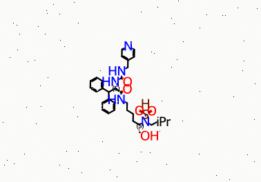 CC(C)CN([C@H](CO)CCCCNC(=O)[C@@H](NC(=O)NCc1ccncc1)C(c1ccccc1)c1ccccc1)[SH](=O)=O